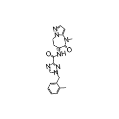 Cc1ccccc1Cn1cnc(C(=O)N[C@H]2CCn3nccc3N(C)C2=O)n1